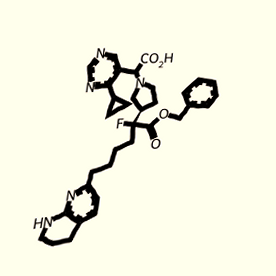 O=C(O)C(c1cncnc1C1CC1)N1CC[C@@H](C(F)(CCCCc2ccc3c(n2)NCCC3)C(=O)OCc2ccccc2)C1